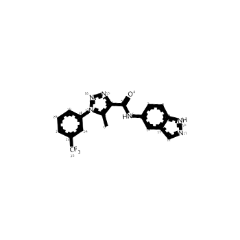 Cc1c(C(=O)Nc2ccc3[nH]ncc3c2)nnn1-c1cccc(C(F)(F)F)c1